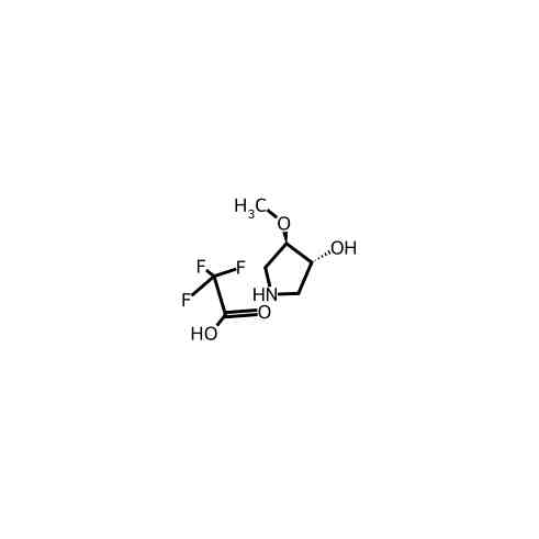 CO[C@@H]1CNC[C@H]1O.O=C(O)C(F)(F)F